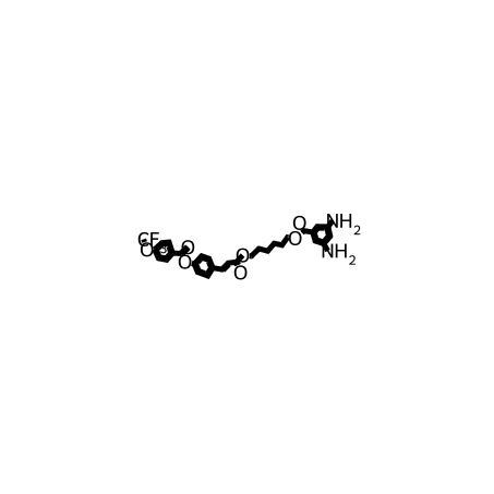 Nc1cc(N)cc(C(=O)OCCCCCCOC(=O)C=Cc2ccc(OC(=O)c3ccc(OC(F)(F)F)cc3)cc2)c1